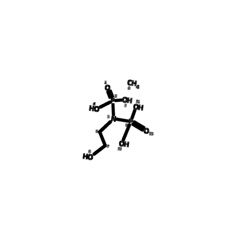 C.O=P(O)(O)N(CCO)P(=O)(O)O